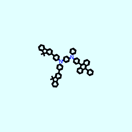 CC1(C)c2ccccc2-c2ccc(-c3ccc(N(c4ccc(-c5ccc6c(c5)C(C)(C)c5ccccc5-6)cc4)c4ccc(N(c5ccccc5)c5ccc(-c6c7ccccc7c(-c7ccccc7)c7ccccc67)cc5)cc4)cc3)cc21